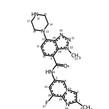 Cc1cn2cc(NC(=O)c3ccc(N4CCNCC4)c4nnn(C)c34)cc(F)c2n1